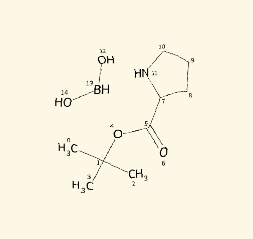 CC(C)(C)OC(=O)C1CCCN1.OBO